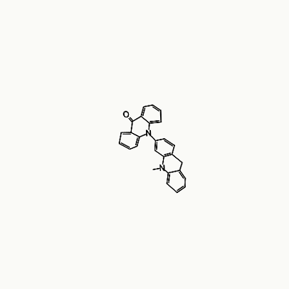 CN1c2ccccc2Cc2ccc(-n3c4ccccc4c(=O)c4ccccc43)cc21